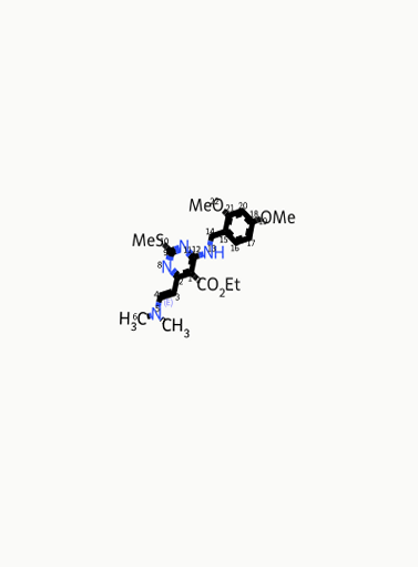 CCOC(=O)c1c(/C=C/N(C)C)nc(SC)nc1NCc1ccc(OC)cc1OC